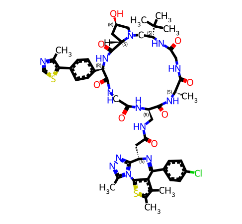 Cc1ncsc1-c1ccc([C@H]2NC(=O)[C@@H]3C[C@@H](O)CN3C[C@H](C(C)(C)C)NC(=O)CNC(=O)[C@H](C)NC(=O)[C@@H](CNC(=O)C[C@@H]3N=C(c4ccc(Cl)cc4)c4c(sc(C)c4C)-n4c(C)nnc43)NC(=O)CNC2=O)cc1